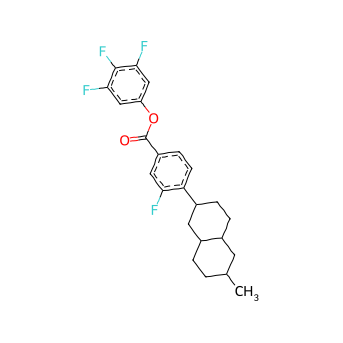 CC1CCC2CC(c3ccc(C(=O)Oc4cc(F)c(F)c(F)c4)cc3F)CCC2C1